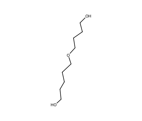 OCCCCCOCCCCO